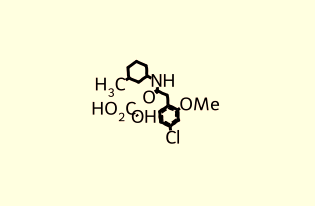 COc1cc(Cl)ccc1CC(=O)NC1CCCC(C)C1.O=C(O)O